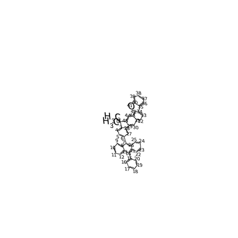 CC1(C)c2ccc(-c3c4ccccc4c(-c4ccccc4)c4ccccc34)cc2-c2cc3ccc4c5ccccc5oc4c3cc21